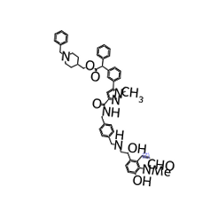 CNc1c(O)ccc(C(O)CNCc2ccc(CNC(=O)c3cc(-c4cccc(C(C(=O)OCC5CCN(Cc6ccccc6)CC5)c5ccccc5)c4)n(C)n3)cc2)c1/C=C\C=O